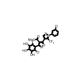 COC(=O)c1c(-c2c(F)c(O)c(O)c(O)c2Cl)noc1-c1cnn(-c2cccc(Cl)c2)c1C(F)(F)F